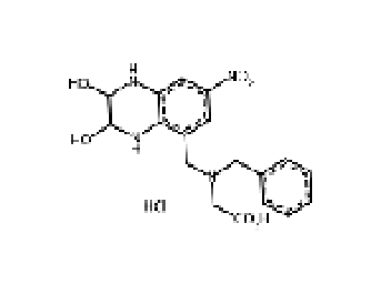 Cl.O=C(O)CN(Cc1ccccc1)Cc1cc([N+](=O)[O-])cc2c1NC(O)C(O)N2